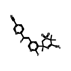 CC1(C)C(N)=N[C@](C)(c2cc(/C=C(\F)c3ccc(C#N)cn3)cnc2F)CS1(=O)=O